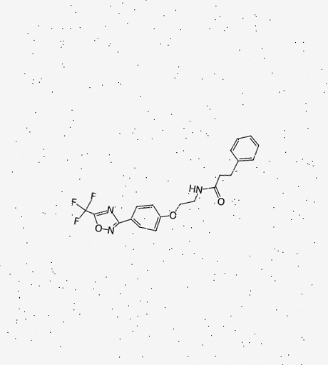 O=C(CCc1ccccc1)NCCOc1ccc(-c2noc(C(F)(F)F)n2)cc1